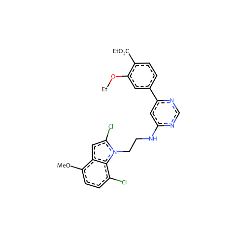 CCOC(=O)c1ccc(-c2cc(NCCn3c(Cl)cc4c(OC)ccc(Cl)c43)ncn2)cc1OCC